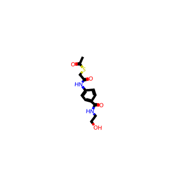 CC(=O)SCC(=O)Nc1ccc(C(=O)NCCO)cc1